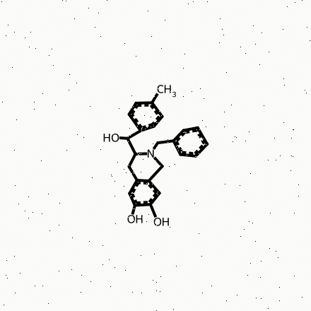 Cc1ccc(C(O)C2Cc3cc(O)c(O)cc3CN2Cc2ccccc2)cc1